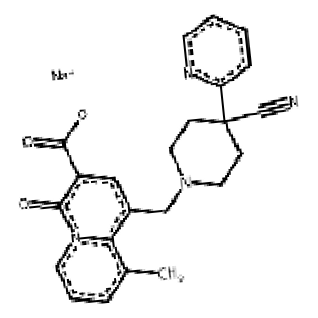 Cc1cccn2c(=O)c(C(=O)[O-])cc(CN3CCC(C#N)(c4ccccn4)CC3)c12.[Na+]